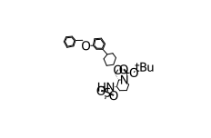 CC(C)(C)OC(=O)N1CCC[C@H](NS(C)(=O)=O)[C@@H]1COC1CCC(c2cccc(OCc3ccccc3)c2)CC1